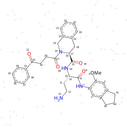 COc1cc2c(cc1NC(=O)[C@H](CCN)NC(=O)[C@@H]1Cc3ccccc3CN1C(=O)CCC(=O)c1ccccc1)CCC2